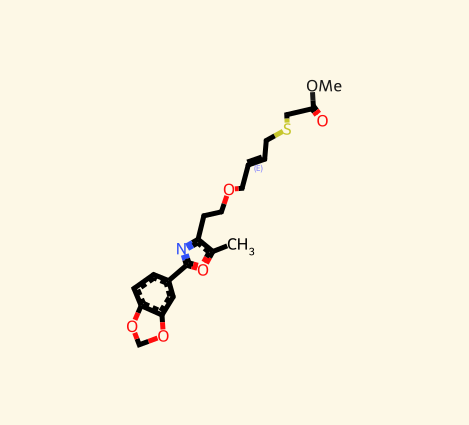 COC(=O)CSC/C=C/COCCc1nc(-c2ccc3c(c2)OCO3)oc1C